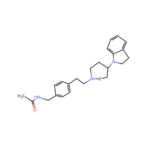 CC(=O)NCc1ccc(CCN2CCC(N3CCc4ccccc43)CC2)cc1